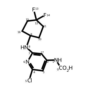 O=C(O)Nc1cc(Cl)nc(NC2CCC(F)(F)CC2)c1